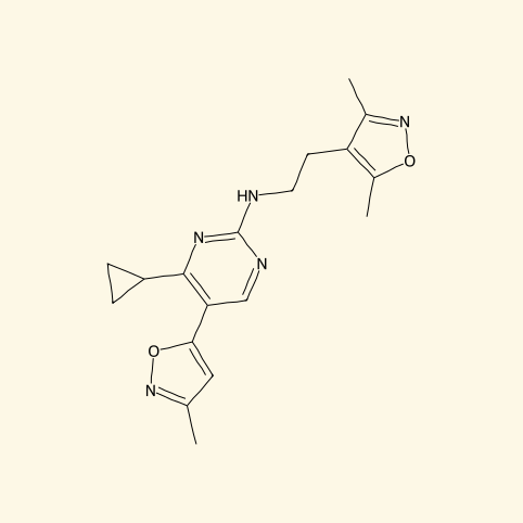 Cc1cc(-c2cnc(NCCc3c(C)noc3C)nc2C2CC2)on1